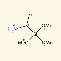 CO[Si](OC)(OC)C(C)N